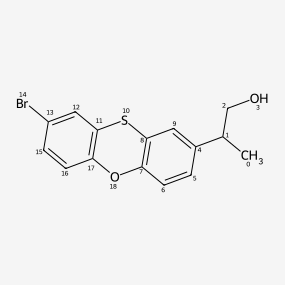 CC(CO)c1ccc2c(c1)Sc1cc(Br)ccc1O2